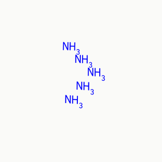 N.N.N.N.N